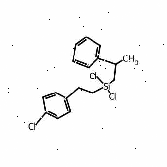 CC(C[Si](Cl)(Cl)CCc1ccc(Cl)cc1)c1ccccc1